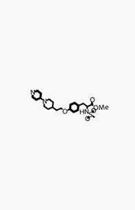 COC(=O)C(Cc1ccc(OCCC2CCN(c3ccncc3)CC2)cc1)NS(C)(=O)=O